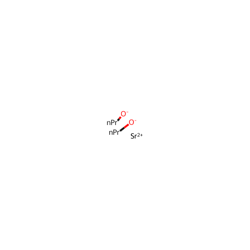 CCC[O-].CCC[O-].[Sr+2]